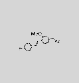 COc1cc(CC(C)=O)ccc1C=Cc1ccc(F)cc1